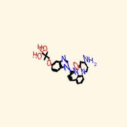 CC(CO)(COc1ccc2c(c1)ncn2-c1ccc2cccc(N3CCC(N)CC3=O)c2n1)C(=O)O